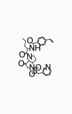 C=Cc1ccc(C(=O)NC(CCC)C(=O)N2CCC3C2C(=O)CN3S(=O)(=O)Cc2cccnc2)cc1